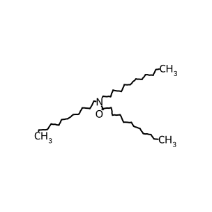 CCCCCCCCCCCCN(CCCCCCCCCCCC)C(=O)CCCCCCCCCCC